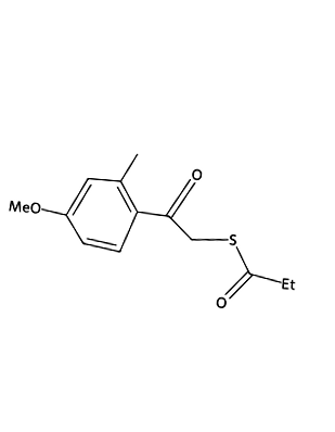 CCC(=O)SCC(=O)c1ccc(OC)cc1C